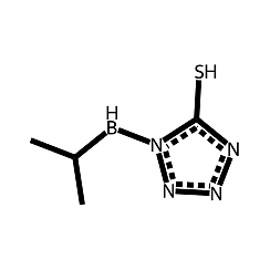 CC(C)Bn1nnnc1S